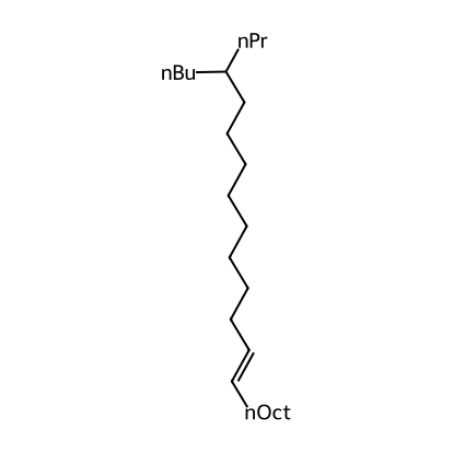 CCCCCCCCC=CCCCCCCCCC(CCC)CCCC